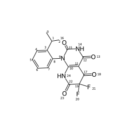 CC(C)c1ccccc1-n1c2c(c(=O)[nH]c1=O)C(=O)C(F)(F)C(=O)N2